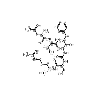 CC(C)C[C@H](NC(=O)NNC(=O)[C@H](Cc1ccccc1)NC(=O)[C@@H](NC(=O)[C@@H](N)CC(N)=O)[C@@H](C)O)C(=O)N[C@@H](CCCNC(=N)N)C(=O)O